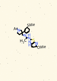 C=C(NC1Nc2ccc(OC)nc2S1)N1CC2(CCN(C(C)=O)C2)C2=CC(SC)CC=C21